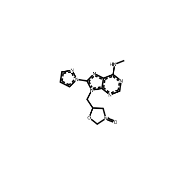 CNc1ncnc2c1nc(-n1cccn1)n2CC1C[N+](=O)CO1